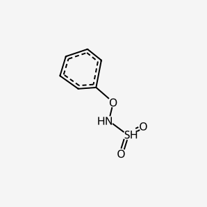 O=[SH](=O)NOc1ccccc1